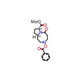 COC(=O)[C@@H]1CC[C@@H]2CCN(OC(=O)c3ccccc3)CCC(=O)N21